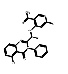 C[C@H](Nc1cc(Cl)ncc1C(N)=O)c1nc2cccc(Cl)c2c(=O)n1-c1ccccc1